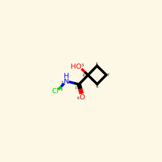 O=C(NCl)C1(O)CCC1